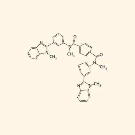 CN(C(=O)c1ccc(C(=O)N(C)c2cccc(-c3nc4ccccc4n3C)c2)cc1)c1cccc(-c2nc3ccccc3n2C)c1